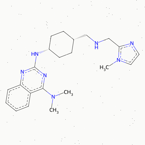 CN(C)c1nc(N[C@H]2CC[C@@H](CNCc3nccn3C)CC2)nc2ccccc12